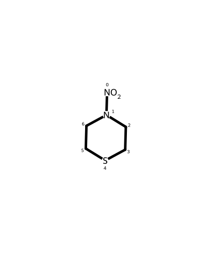 O=[N+]([O-])N1CCSCC1